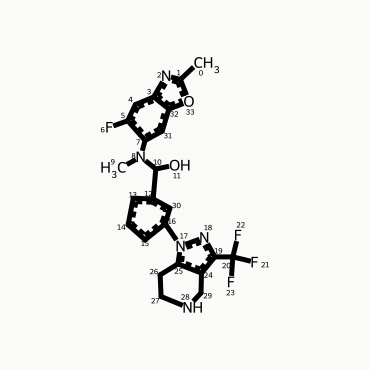 Cc1nc2cc(F)c(N(C)C(O)c3cccc(-n4nc(C(F)(F)F)c5c4CCNC5)c3)cc2o1